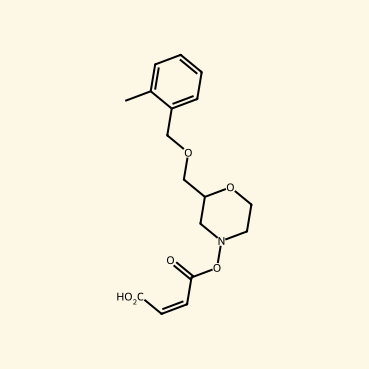 Cc1ccccc1COCC1CN(OC(=O)/C=C\C(=O)O)CCO1